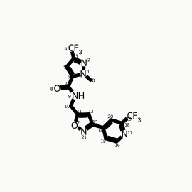 Cn1nc(C(F)(F)F)cc1C(=O)NCc1cc(-c2ccnc(C(F)(F)F)c2)no1